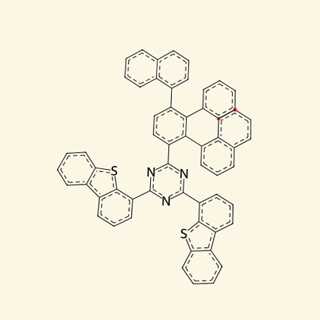 c1ccc(-c2c(-c3cccc4ccccc34)ccc(-c3nc(-c4cccc5c4sc4ccccc45)nc(-c4cccc5c4sc4ccccc45)n3)c2-c2cccc3ccccc23)cc1